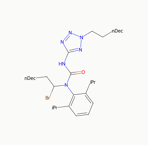 CCCCCCCCCCCCn1nnc(NC(=O)N(c2c(C(C)C)cccc2C(C)C)C(Br)CCCCCCCCCCC)n1